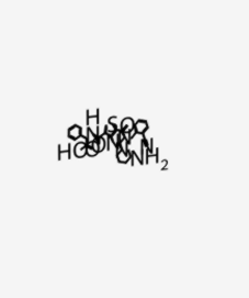 N#Cc1ccccc1Cn1c(N2CCCC(N)C2)nc2c(C(=O)NC(C(=O)O)c3ccccc3)csc2c1=O